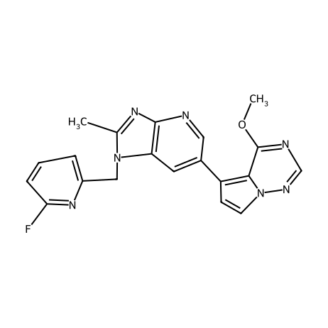 COc1ncnn2ccc(-c3cnc4nc(C)n(Cc5cccc(F)n5)c4c3)c12